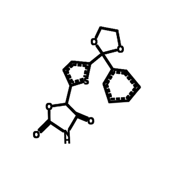 O=C1NC(=O)C(c2ccc(C3(c4ccccc4)OCCO3)s2)O1